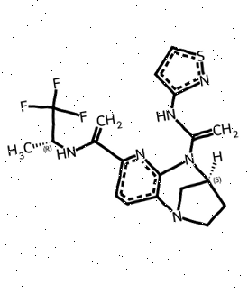 C=C(N[C@H](C)C(F)(F)F)c1ccc2c(n1)N(C(=C)Nc1ccsn1)[C@H]1CCN2C1